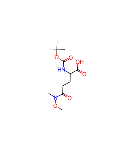 CON(C)C(=O)CCC(NC(=O)OC(C)(C)C)C(=O)O